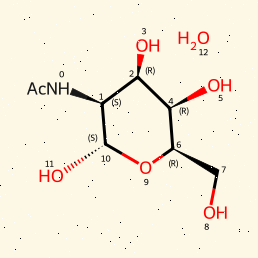 CC(=O)N[C@H]1[C@@H](O)[C@@H](O)[C@@H](CO)O[C@@H]1O.O